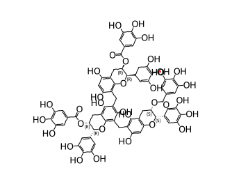 O=C(O[C@H]1Cc2c(cc(O)c(Cc3c(O)c(Cc4c(O)cc(O)c5c4O[C@H](C4C=C(O)C(O)=C(O)C4)[C@H](OC(=O)c4cc(O)c(O)c(O)c4)C5)c(O)c4c3O[C@H](c3cc(O)c(O)c(O)c3)[C@H](OC(=O)c3cc(O)c(O)c(O)c3)C4)c2O)O[C@H]1c1cc(O)c(O)c(O)c1)c1cc(O)c(O)c(O)c1